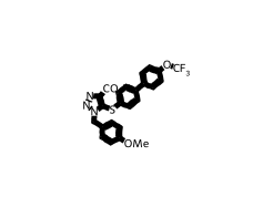 COc1ccc(Cn2nnc(C(=O)O)c2Sc2ccc(-c3ccc(OC(F)(F)F)cc3)cc2)cc1